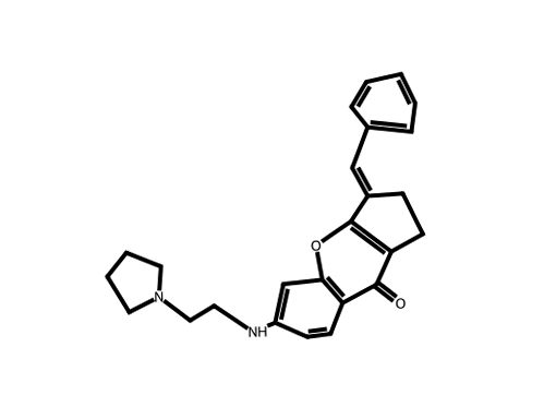 O=c1c2c(oc3cc(NCCN4CCCC4)ccc13)C(=Cc1ccccc1)CC2